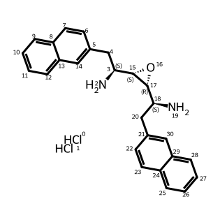 Cl.Cl.N[C@@H](Cc1ccc2ccccc2c1)[C@@H]1O[C@@H]1[C@@H](N)Cc1ccc2ccccc2c1